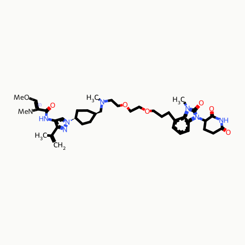 C=C(C)c1nn([C@H]2CC[C@H](CN(C)CCOCCOCCCc3cccc4c3n(C)c(=O)n4C3CCC(=O)NC3=O)CC2)cc1NC(=O)/C(=C/OC)NC